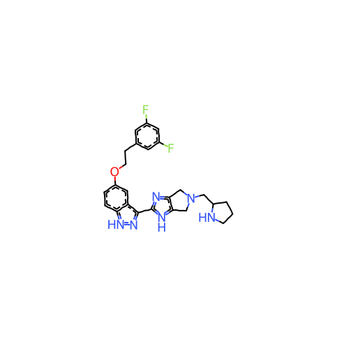 Fc1cc(F)cc(CCOc2ccc3[nH]nc(-c4nc5c([nH]4)CN(CC4CCCN4)C5)c3c2)c1